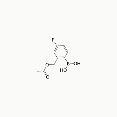 CC(=O)OCc1cc(F)ccc1B(O)O